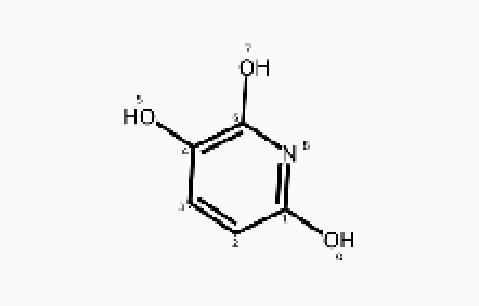 Oc1c[c]c(O)c(O)n1